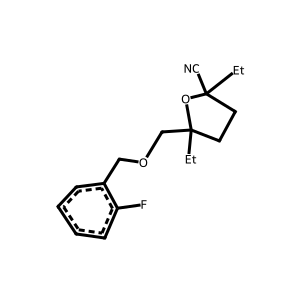 CCC1(C#N)CCC(CC)(COCc2ccccc2F)O1